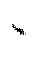 C#CCOCCOCCN1CCN(CC(=O)OC(C)(C)C)CC1